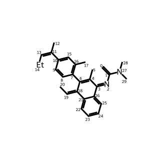 C=C(/N=C1C(C)=C(c2ccc(/C(C)=C\CC)cc2C)/C(=C\C)c2ccccc2\1)N(C)C